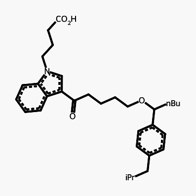 CCCCC(OCCCCC(=O)c1cn(CCCC(=O)O)c2ccccc12)c1ccc(CC(C)C)cc1